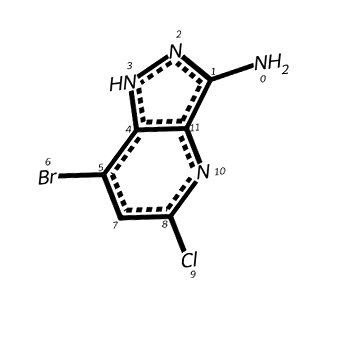 Nc1n[nH]c2c(Br)cc(Cl)nc12